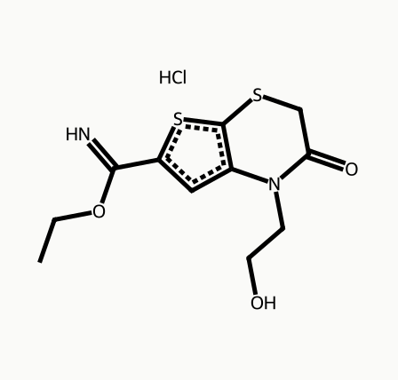 CCOC(=N)c1cc2c(s1)SCC(=O)N2CCO.Cl